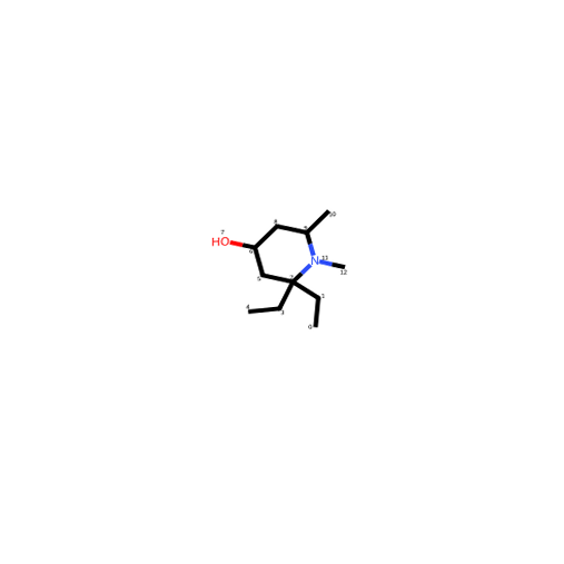 CCC1(CC)CC(O)CC(C)N1C